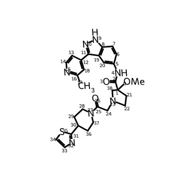 COC1(C(=O)Nc2ccc3[nH]nc(-c4ccnc(C)c4)c3c2)CCN(CC(=O)N2CCC(c3nccs3)CC2)C1